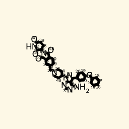 Nc1ncnc2c1c(-c1ccc(Oc3ccccc3)cc1)nn2C1CCN(Cc2ccc3c(c2)C(=O)N([C@H]2CCC(=O)NC2=O)C3=O)CC1